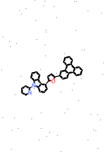 c1ccc(-n2c3ccccc3c3c(-c4ccc(-c5ccc6c7ccccc7c7ccccc7c6c5)o4)cccc32)nc1